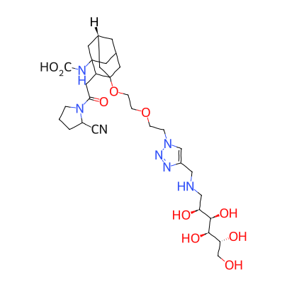 N#CC1CCCN1C(=O)CC1C2(NC(=O)O)CC3C[C@@H](C2)CC1(OCCOCCn1cc(CNC[C@H](O)[C@@H](O)[C@H](O)[C@H](O)CO)nn1)C3